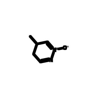 CC1C=[N+]([O-])N=CC1